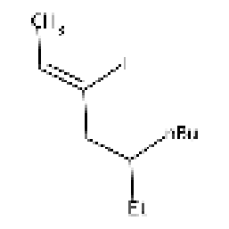 CC=C(I)CC(CC)CCCC